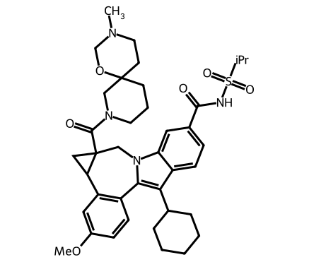 COc1ccc2c(c1)C1CC1(C(=O)N1CCCC3(CCN(C)CO3)C1)Cn1c-2c(C2CCCCC2)c2ccc(C(=O)NS(=O)(=O)C(C)C)cc21